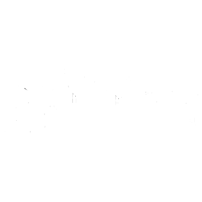 C=C(CCNC(=O)COc1ccc(Cl)c(F)c1)NC(=O)[C@H]1C[C@H](O)c2cc(Cl)ccc2O1